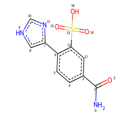 NC(=O)c1ccc(-c2c[nH]cn2)c(S(=O)(=O)O)c1